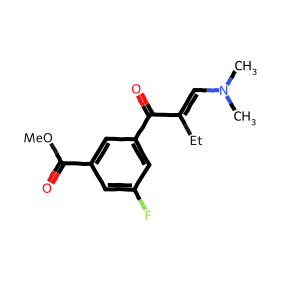 CC/C(=C\N(C)C)C(=O)c1cc(F)cc(C(=O)OC)c1